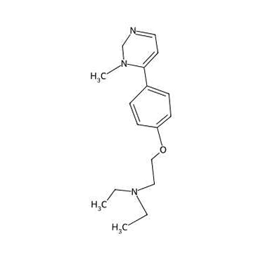 CCN(CC)CCOc1ccc(C2=CC=NCN2C)cc1